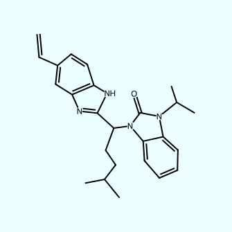 C=Cc1ccc2[nH]c(C(CCC(C)C)n3c(=O)n(C(C)C)c4ccccc43)nc2c1